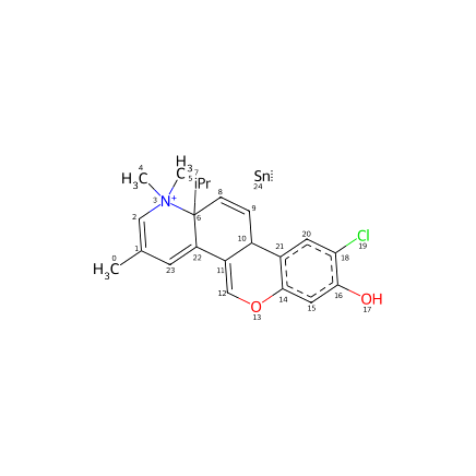 CC1=C[N+](C)(C)C2(C(C)C)C=CC3C(=COc4cc(O)c(Cl)cc43)C2=C1.[Sn]